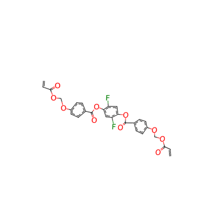 C=CC(=O)OCOc1ccc(C(=O)Oc2cc(F)c(OC(=O)c3ccc(OCOC(=O)C=C)cc3)cc2F)cc1